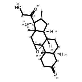 C[C@H]1C[C@H]2[C@@H]3CC[C@H]4CC(=O)CC[C@]4(C)[C@]34OC4C[C@]2(C)[C@@]1(O)C(=O)CO